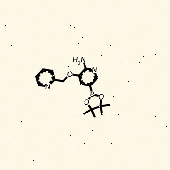 CC1(C)OB(c2cnc(N)c(OCc3ccccn3)c2)OC1(C)C